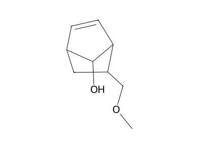 COCC1CC2C=CC1C2O